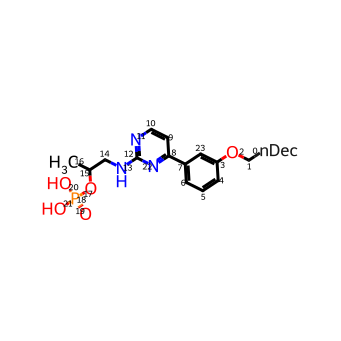 CCCCCCCCCCCOc1cccc(-c2ccnc(NCC(C)OP(=O)(O)O)n2)c1